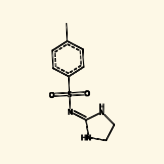 Cc1ccc(S(=O)(=O)N=C2NCCN2)cc1